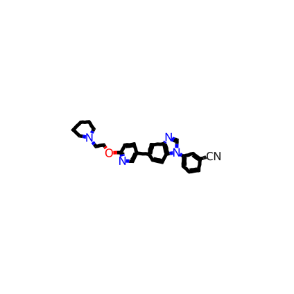 N#Cc1cccc(-n2cnc3cc(-c4ccc(OCCN5CCCCC5)nc4)ccc32)c1